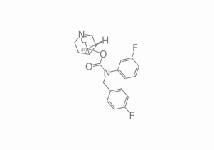 O=C(O[C@H]1CN2CCC1CC2)N(Cc1ccc(F)cc1)c1cccc(F)c1